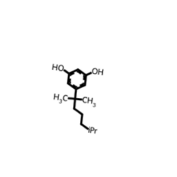 CC(C)CCCC(C)(C)c1cc(O)cc(O)c1